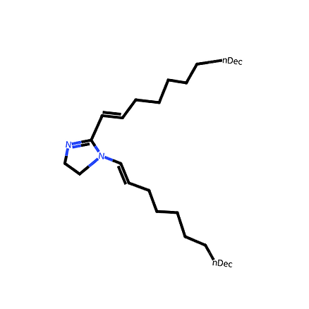 CCCCCCCCCCCCCCCC=CC1=NCCN1C=CCCCCCCCCCCCCCCC